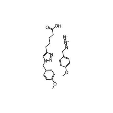 COc1ccc(CN=[N+]=[N-])cc1.COc1ccc(Cn2cc(CCCCC(=O)O)nn2)cc1